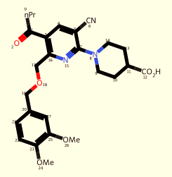 CCCC(=O)c1cc(C#N)c(N2CCC(C(=O)O)CC2)nc1COCc1ccc(OC)c(OC)c1